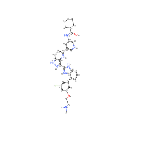 CN(C)CCOc1cc(F)cc(-c2cccc3[nH]c(-c4n[nH]c5ccc(-c6cncc(NC(=O)C7CCCCC7)c6)nc45)nc23)c1